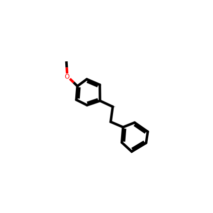 COc1ccc([CH]Cc2ccccc2)cc1